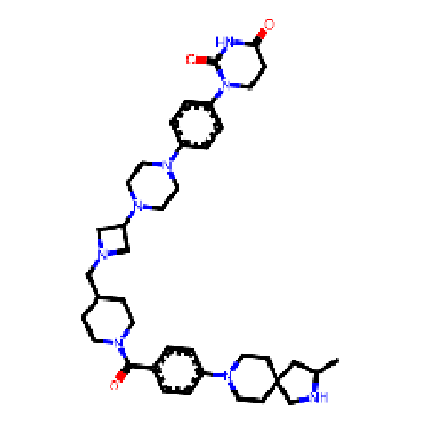 CC1CC2(CCN(c3ccc(C(=O)N4CCC(CN5CC(N6CCN(c7ccc(N8CCC(=O)NC8=O)cc7)CC6)C5)CC4)cc3)CC2)CN1